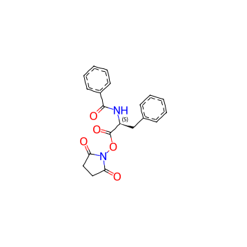 O=C(N[C@@H](Cc1ccccc1)C(=O)ON1C(=O)CCC1=O)c1ccccc1